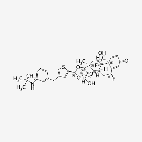 CC(C)(C)Nc1cccc(Cc2csc([C@@H]3O[C@@H]4C[C@H]5[C@@H]6C[C@H](F)C7=CC(=O)C=C[C@]7(C)[C@@]6(F)[C@@H](O)C[C@]5(C)[C@]4(C(=O)CO)O3)c2)c1